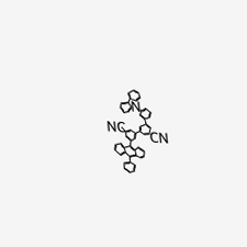 N#Cc1cc(-c2cc(C#N)cc(-c3c4ccccc4c(-c4ccccc4)c4ccccc34)c2)cc(-c2cccc(-n3c4ccccc4c4ccccc43)c2)c1